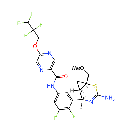 COC[C@]12C[C@H]1[C@](C)(c1cc(NC(=O)c3cnc(OCC(F)(F)C(F)F)cn3)cc(F)c1F)N=C(N)S2